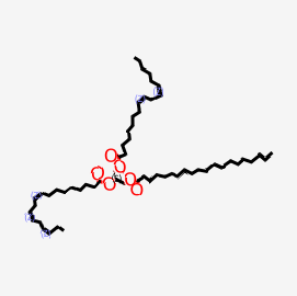 CC/C=C\C/C=C\C/C=C\CCCCCCCC(=O)O[C@H](COC(=O)CCCCCCC/C=C\C/C=C\CCCCC)COC(=O)CCCCCCCCCCCCCCCCCCC